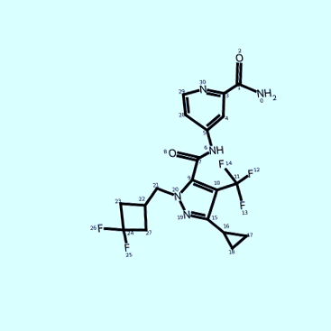 NC(=O)c1cc(NC(=O)c2c(C(F)(F)F)c(C3CC3)nn2CC2CC(F)(F)C2)ccn1